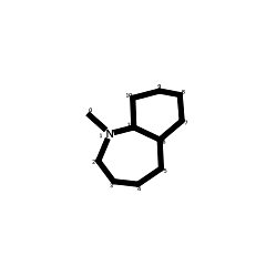 CN1CCCCC2CCCCC21